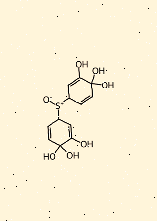 [O-][S+](C1C=CC(O)(O)C(O)=C1)C1C=CC(O)(O)C(O)=C1